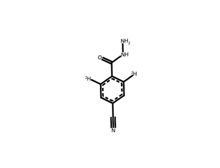 [2H]c1cc(C#N)cc([2H])c1C(=O)NN